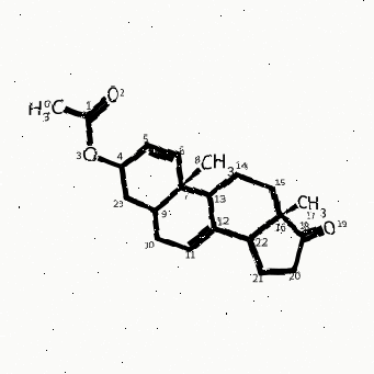 CC(=O)OC1C=C[C@@]2(C)C(CC=C3C2CC[C@]2(C)C(=O)CCC32)C1